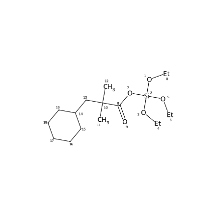 CCO[Si](OCC)(OCC)OC(=O)C(C)(C)CC1CCCCC1